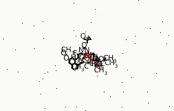 CCOC1CC2CN(c3nc(OCC4(C=O)CC4)nc4c(F)c(-c5cc(OCOC)cc6cccc(C#C[Si](C(C)C)(C(C)C)C(C)C)c56)ncc34)CC1N2C(=O)OC(C)(C)C